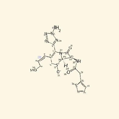 Bn1nnc(C2=C(/C=C\CO)C[S+]([O-])[C@@H]3[C@H](NC(=O)Cc4cccs4)C(=O)N23)n1